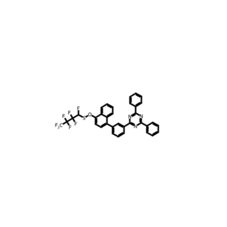 FC(SOc1ccc(-c2cccc(-c3nc(-c4ccccc4)nc(-c4ccccc4)n3)c2)c2ccccc12)C(F)(F)C(F)(F)C(F)(F)F